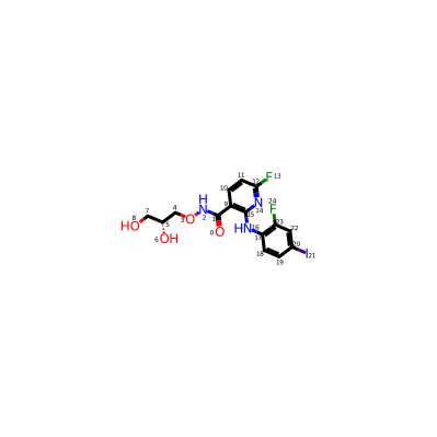 O=C(NOC[C@H](O)CO)c1ccc(F)nc1Nc1ccc(I)cc1F